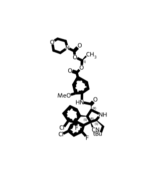 COc1cc(C(=O)O[C@H](C)OC(=O)N2CCOCC2)ccc1NC(=O)[C@@H]1N[C@@H](CC(C)(C)C)[C@](C#N)(c2ccc(Cl)cc2F)[C@H]1c1cccc(Cl)c1F